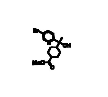 COC(=O)[C@H]1CC[C@H]([C@@](C)(O)c2ccc(Br)cn2)CC1